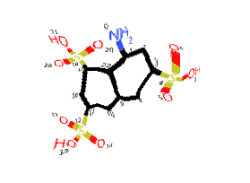 NC1CC(S(=O)(=O)O)CC2CC(S(=O)(=O)O)CC(S(=O)(=O)O)C12